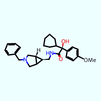 COc1ccc([C@](O)(C(=O)NC[C@H]2C3CN(Cc4ccccc4)C[C@@H]32)C2CCCCC2)cc1